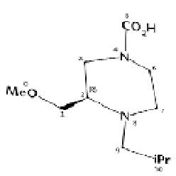 COC[C@H]1CN(C(=O)O)CCN1CC(C)C